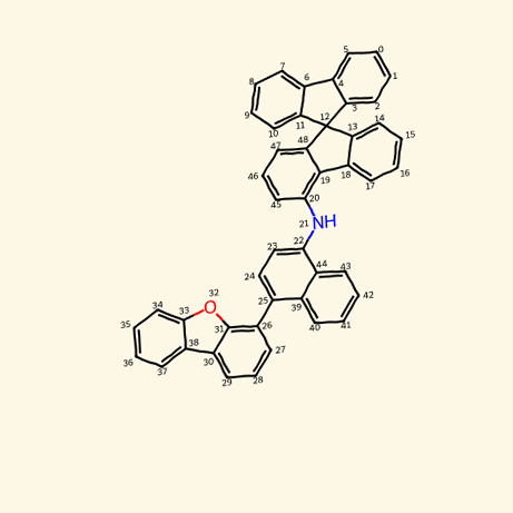 c1ccc2c(c1)-c1ccccc1C21c2ccccc2-c2c(Nc3ccc(-c4cccc5c4oc4ccccc45)c4ccccc34)cccc21